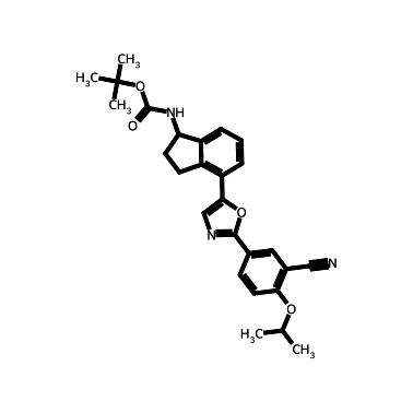 CC(C)Oc1ccc(-c2ncc(-c3cccc4c3CCC4NC(=O)OC(C)(C)C)o2)cc1C#N